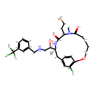 CN1C(=O)CCCCOc2ccc(cc2F)C[C@@H]([C@H](O)CNCc2cccc(C(F)(F)F)c2)NC(=O)C1CCS